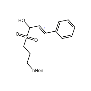 CCCCCCCCCCCCS(=O)(=O)C(O)/C=C/c1ccccc1